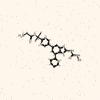 CCNC(=O)Nc1nc2cc(-c3cnc(C(C)(C)OC(=O)CN)nc3)cc(-c3ccccn3)c2s1